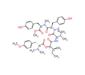 CC[C@H](C)[C@@H](OC(=O)[C@@H](Cc1ccc(OC)cc1)N(C)C)C(=O)N[C@@H](C(=O)N(C)[C@H](Cc1ccc(O)cc1)C(=O)N(C)[C@H](Cc1ccc(O)cc1)C(=O)OC)C(C)C